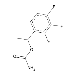 CC(OC(N)=O)c1ccc(F)c(F)c1F